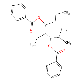 CCCC(OC(=O)c1ccccc1)C(CC)C(OC(=O)c1ccccc1)C(C)C